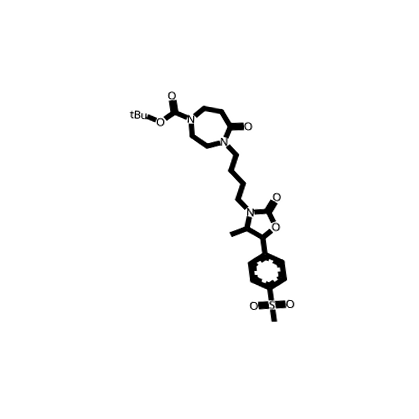 CC1C(c2ccc(S(C)(=O)=O)cc2)OC(=O)N1CCCCN1CCN(C(=O)OC(C)(C)C)CCC1=O